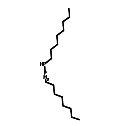 CCCCCCCCP[PH3]CCCCCCCC